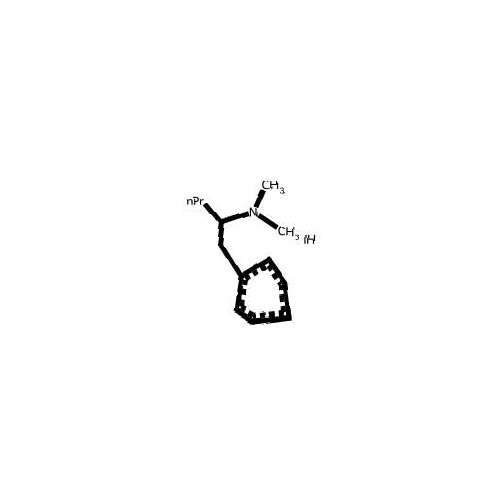 CCCC(Cc1ccccc1)N(C)C.I